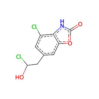 O=c1[nH]c2c(Cl)cc(CC(O)Cl)cc2o1